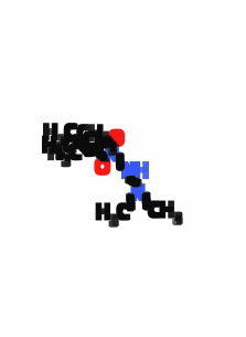 CCCN(CCC)CCNCCN1C(=O)CC(CC(C)(C)C(C)(C)C)C1=O